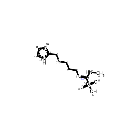 CN/C(=N\CCCSCc1ncc[nH]1)S(=O)(=O)O